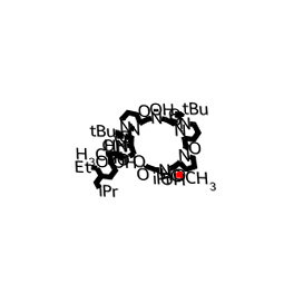 CCC1OC(O)(C(C)(O)C(=O)NC2C(=O)N3C(CCCN3C(=O)C(C)(C)C)C(=O)N(O)CC(=O)N3C(CCCN3C(=O)C(C)(C)C)C(=O)N3CCC(C)(O)C3C(=O)N(O)C(C(C)C)C(=O)OC2C(C)C)CCC1CC(C)C